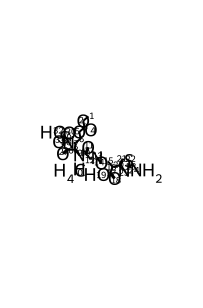 C.COC(=O)OCC1C(NC(=O)C=NOCC(C(=O)O)c2csc(N)n2)C(=O)N1S(=O)(=O)O